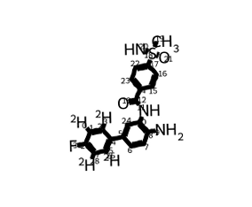 [2H]c1c([2H])c(-c2ccc(N)c(NC(=O)c3ccc(S(C)(=N)=O)cc3)c2)c([2H])c([2H])c1F